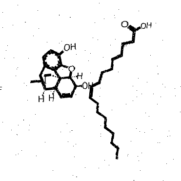 CCCCCCCC/C=C\CCCCCCCC(=O)O.CN1CC[C@]23c4c5ccc(O)c4O[C@H]2[C@@H](O)C=C[C@H]3[C@H]1C5